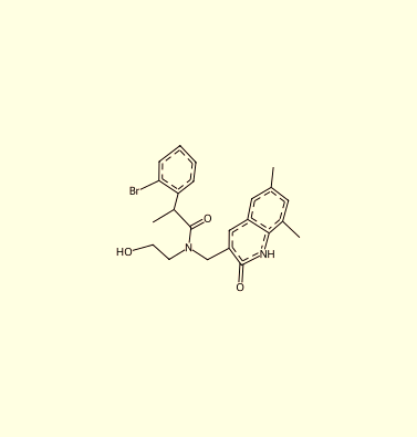 Cc1cc(C)c2[nH]c(=O)c(CN(CCO)C(=O)C(C)c3ccccc3Br)cc2c1